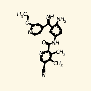 CCOc1cc(C(=N)c2cc(NC(=O)c3ncc(C#N)c(C)c3C)ccc2N)ccn1